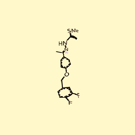 C=C(N/N=C(\C)c1ccc(OCc2ccc(F)c(F)c2)cc1)SC